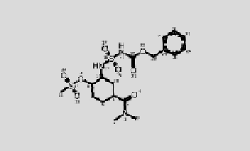 CN(C)C(=O)C1CCC(OS(C)(=O)=O)C(NS(=O)(=O)NC(=O)OCc2ccccc2)C1